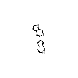 c1cn2cc(-c3cn4ccnc4cn3)cc2cn1